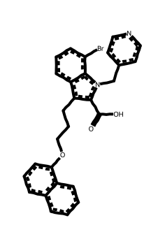 O=C(O)c1c(CCCOc2cccc3ccccc23)c2cccc(Br)c2n1Cc1ccncc1